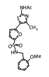 COc1ccccc1CNS(=O)(=O)c1ccc(-c2sc(NC(C)=O)nc2C)o1